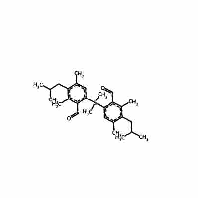 Cc1cc([Si](C)(C)c2cc(C)c(CC(C)C)c(C)c2C=O)c(C=O)c(C)c1CC(C)C